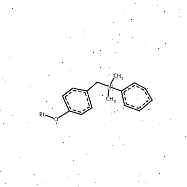 CCOc1ccc(C[N+](C)(C)c2ccccc2)cc1